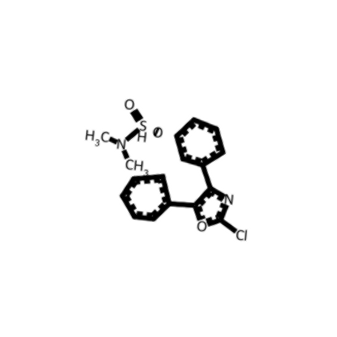 CN(C)[SH](=O)=O.Clc1nc(-c2ccccc2)c(-c2ccccc2)o1